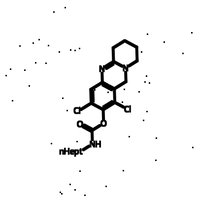 CCCCCCCNC(=O)Oc1c(Cl)cc2c(c1Cl)CN1CCCCC1=N2